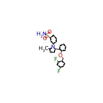 Cc1ccc(-c2ccccc2OCc2ccc(F)cc2F)n1-c1cccc(S(N)(=O)=O)c1